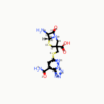 NC(=O)c1cc(SCC2(C(=O)O)CS[C@@H]3C(N)C(=O)N3C2)nn2nnnc12